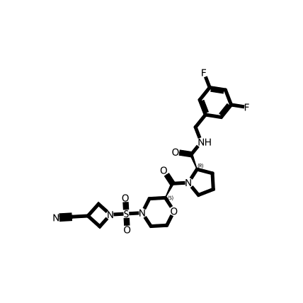 N#CC1CN(S(=O)(=O)N2CCO[C@H](C(=O)N3CCC[C@@H]3C(=O)NCc3cc(F)cc(F)c3)C2)C1